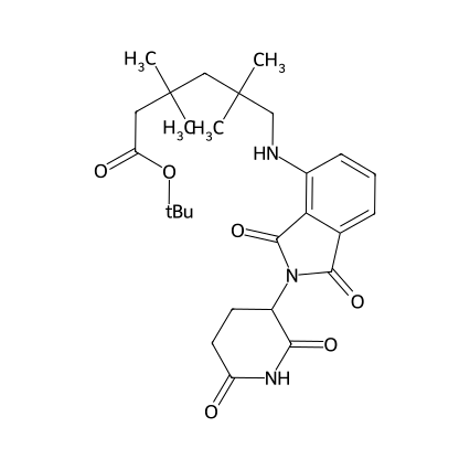 CC(C)(CNc1cccc2c1C(=O)N(C1CCC(=O)NC1=O)C2=O)CC(C)(C)CC(=O)OC(C)(C)C